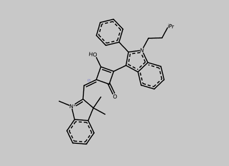 CC(C)CCn1c(-c2ccccc2)c(C2=C(O)/C(=C/C3=[N+](C)c4ccccc4C3(C)C)C2=O)c2ccccc21